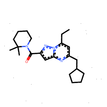 CCc1cc(CC2CCCC2)nc2cc(C(=O)N3CCCCC3(C)C)nn12